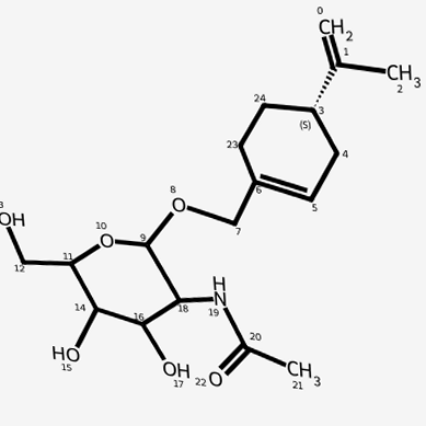 C=C(C)[C@@H]1CC=C(COC2OC(CO)C(O)C(O)C2NC(C)=O)CC1